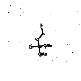 CC[Si](OC)(OC)OCF